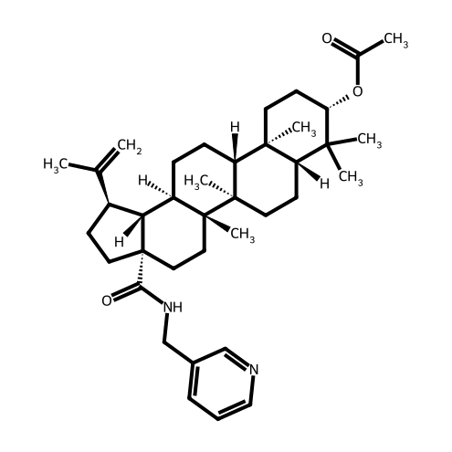 C=C(C)[C@@H]1CC[C@]2(C(=O)NCc3cccnc3)CC[C@]3(C)[C@H](CC[C@@H]4[C@@]5(C)CC[C@H](OC(C)=O)C(C)(C)[C@@H]5CC[C@]43C)[C@@H]12